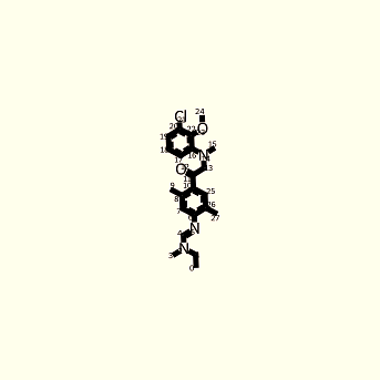 CCN(C)C=Nc1cc(C)c(C(=O)CN(C)c2cccc(Cl)c2OC)cc1C